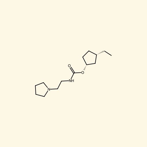 CC[C@H]1CC[C@@H](OC(=O)NCCN2CCCC2)C1